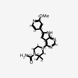 COc1cc(-c2cc3c(N4CCN(C(N)=O)C(C)(C)C4)ncnc3[nH]2)ccn1